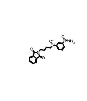 N[N+](=O)c1c[c]cc([S+]([O-])CCCCN2C(=O)c3ccccc3C2=O)c1